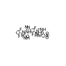 Cn1cc(Nc2nc(-c3c(F)cccc3F)n3c2C(=O)NCC3)c(-c2cc(F)c(-c3nc(Nc4ccc(S(C)(=O)=O)cc4)c4c(=O)[nH]ccn34)c(F)c2)n1